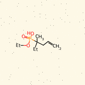 C=CCC(C)(CC)P(=O)(O)OCC